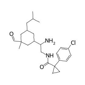 CC(C)CC1CC(C(N)CNC(=O)C2(c3ccc(Cl)cc3)CC2)CC(C)(C=O)C1